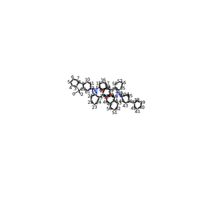 CC1(C)c2ccccc2-c2ccc(N(c3ccccc3)c3ccccc3-c3ccc(C4=C(N(c5c#cc(-c6ccccc6)cc5)c5cccc6ccccc56)C=CCC4)cc3)cc21